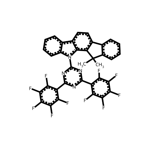 CC1(C)c2ccccc2-c2ccc3c4ccccc4n(-c4nc(-c5c(F)c(F)c(F)c(F)c5F)nc(-c5c(F)c(F)c(F)c(F)c5F)n4)c3c21